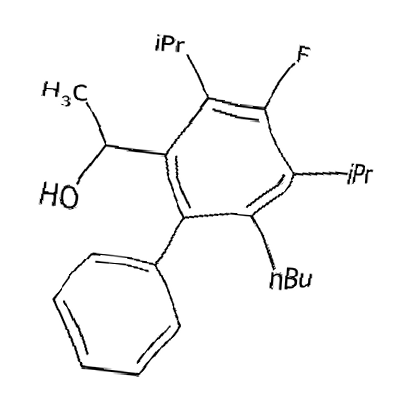 CCCCc1c(-c2ccccc2)c(C(C)O)c(C(C)C)c(F)c1C(C)C